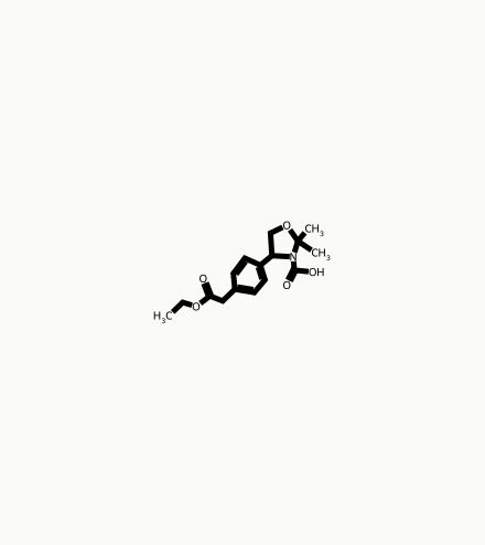 CCOC(=O)Cc1ccc(C2COC(C)(C)N2C(=O)O)cc1